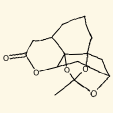 CC12OC3CC4OC(=O)CC5CCCC(C3)(O1)C54O2